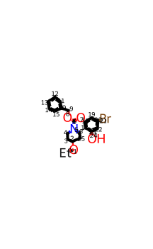 CCO[C@H]1CCN(C(=O)OCc2ccccc2)[C@H](c2ccc(Br)cc2O)C1